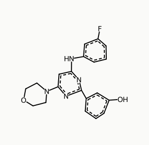 Oc1cccc(-c2nc(Nc3cccc(F)c3)cc(N3CCOCC3)n2)c1